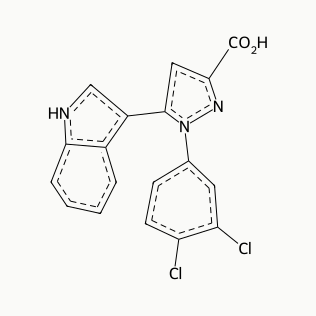 O=C(O)c1cc(-c2c[nH]c3ccccc23)n(-c2ccc(Cl)c(Cl)c2)n1